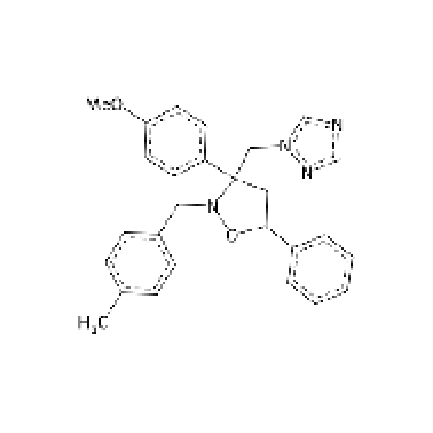 COc1ccc(C2(Cn3cncn3)CC(c3ccccc3)ON2Cc2ccc(C)cc2)cc1